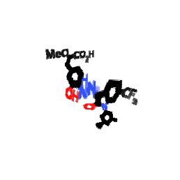 COC(Cc1ccc(N/N=C2\C(=O)N(c3cc(C)cc(C)c3)c3cc(C(F)(F)F)ccc32)c(O)c1)C(=O)O